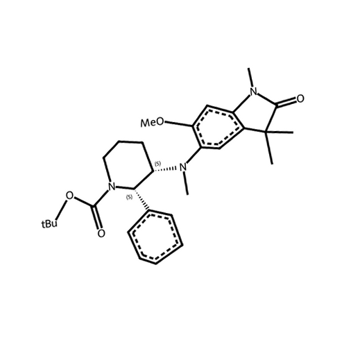 COc1cc2c(cc1N(C)[C@H]1CCCN(C(=O)OC(C)(C)C)[C@H]1c1ccccc1)C(C)(C)C(=O)N2C